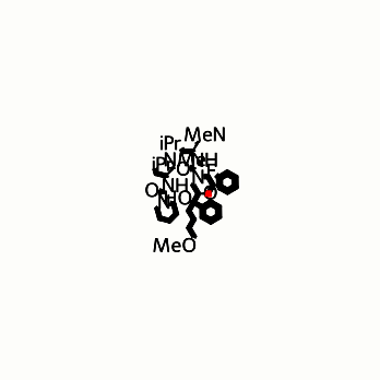 CNC[C@H](CC(C)C)NC(=O)N1CCCCC1.CNC[C@H](CC(C)C)NC(=O)N1CCC[C@@H]([C@](O)(CCCCOC)c2ccccc2Oc2ccccc2F)C1